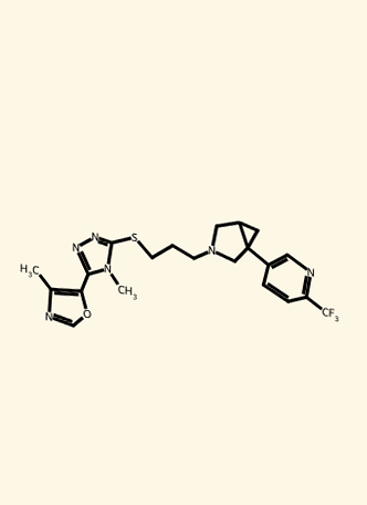 Cc1ncoc1-c1nnc(SCCCN2CC3CC3(c3ccc(C(F)(F)F)nc3)C2)n1C